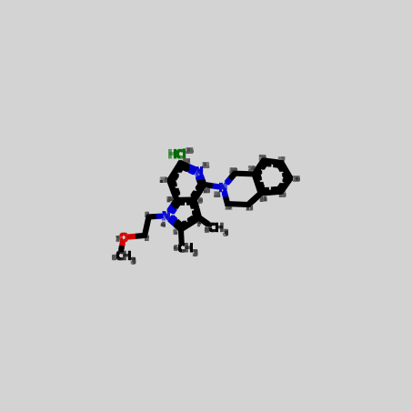 COCCn1c(C)c(C)c2c(N3CCc4ccccc4C3)nccc21.Cl